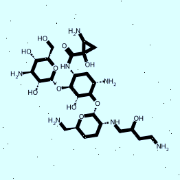 NCCC(O)CN[C@@H]1CC[C@@H](CN)O[C@@H]1OC1[C@@H](N)C[C@@H](NC(=O)C2(O)CC2N)[C@H](O[C@H]2O[C@H](CO)[C@@H](O)[C@H](N)[C@H]2O)[C@H]1O